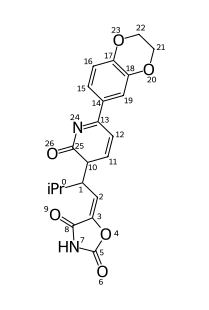 CC(C)C(C=C1OC(=O)NC1=O)C1C=CC(c2ccc3c(c2)OCCO3)=NC1=O